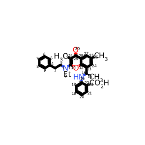 CCN(CCc1ccccc1)c1oc2c([C@@H](C)Nc3ccccc3C(=O)O)cc(C)cc2c(=O)c1C